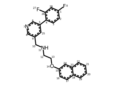 Fc1ccc(-c2cncc(CNCCOc3ccc4ccccc4c3)c2)c(F)c1